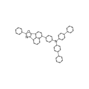 c1ccc(-c2ccc(N(c3ccc(-c4ccccc4)cc3)c3ccc(-c4ccc5c6c(cccc46)-c4nc(-c6ccccc6)oc4-5)cc3)cc2)cc1